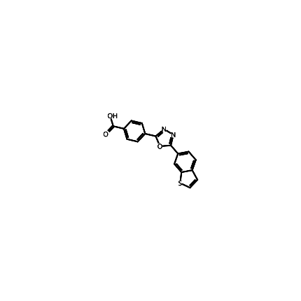 O=C(O)c1ccc(-c2nnc(-c3ccc4ccsc4c3)o2)cc1